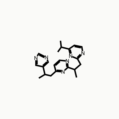 CC(C)c1ccnc(CC(C)c2nccc(CC(C)c3cncnc3)n2)n1